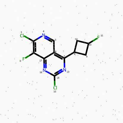 Fc1c(Cl)ncc2c(C3CC(F)C3)nc(Cl)nc12